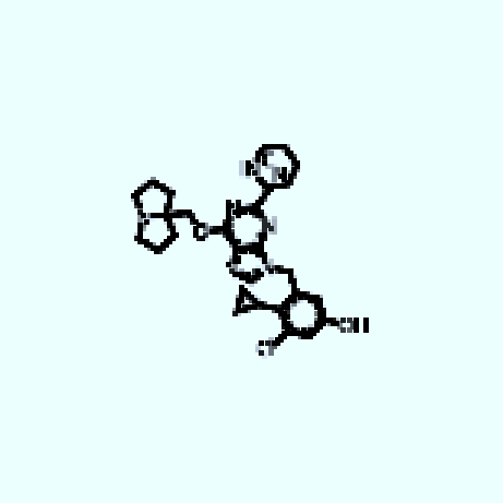 Oc1cc(Cl)c(C2CC2)c(Cn2cnc3c(OCC45CCCN4CCC5)nc(N4CC5CCC4CN5)nc32)c1